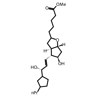 CCCC1CCC([C@H](O)/C=C/[C@@H]2[C@H]3CC(CCCCC(=O)OC)O[C@@H]3C[C@H]2O)C1